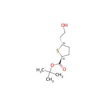 CC(C)(C)OC(=O)[C@@H]1CC[C@@H](CCO)S1